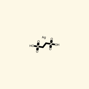 O=S(=O)(O)CCS(=O)(=O)O.[Ag]